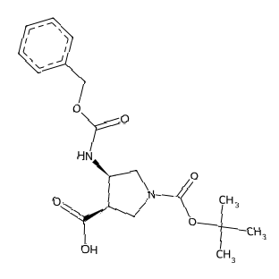 CC(C)(C)OC(=O)N1C[C@H](NC(=O)OCc2ccccc2)[C@H](C(=O)O)C1